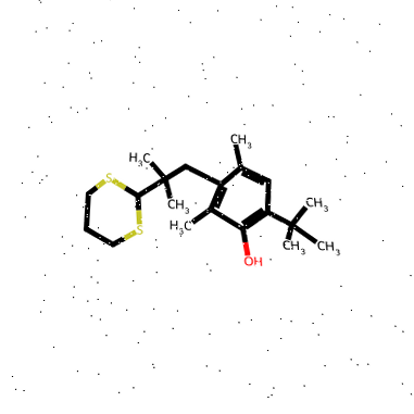 Cc1cc(C(C)(C)C)c(O)c(C)c1CC(C)(C)C1SCCCS1